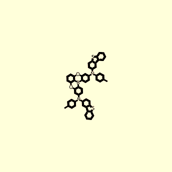 Cc1ccc(N(c2ccc3c(c2)Oc2cccc4c2B3c2ccc(N(c3ccc(C)cc3)c3ccc5sc6ccccc6c5c3)cc2O4)c2ccc3sc4ccccc4c3c2)cc1